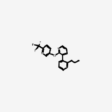 CCCc1ccccc1-c1cccnc1Oc1ccc(C(F)(F)F)nc1